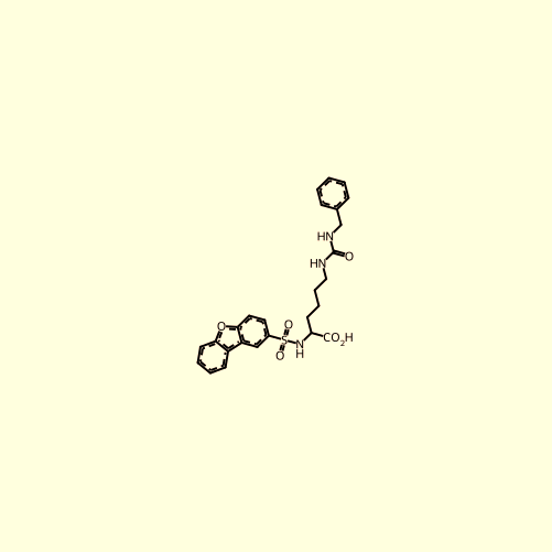 O=C(NCCCCC(NS(=O)(=O)c1ccc2oc3ccccc3c2c1)C(=O)O)NCc1ccccc1